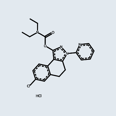 CCN(CC)C(=O)Oc1nn(-c2ccccn2)c2c1-c1ccc(Cl)cc1CC2.Cl